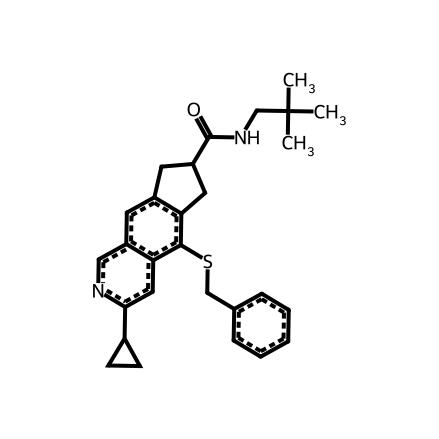 CC(C)(C)CNC(=O)C1Cc2cc3cnc(C4CC4)cc3c(SCc3ccccc3)c2C1